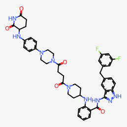 O=C1CCC(Nc2ccc(N3CCN(C(=O)CCC(=O)N4CCC(Nc5ccccc5C(=O)Nc5n[nH]c6ccc(Cc7cc(F)cc(F)c7)cc56)CC4)CC3)cc2)C(=O)N1